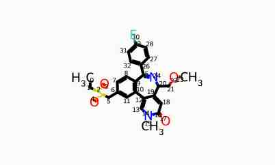 CCS(=O)(=O)Cc1ccc2c(c1)-c1cn(C)c(=O)cc1C(COC)N=C2c1ccc(F)cc1